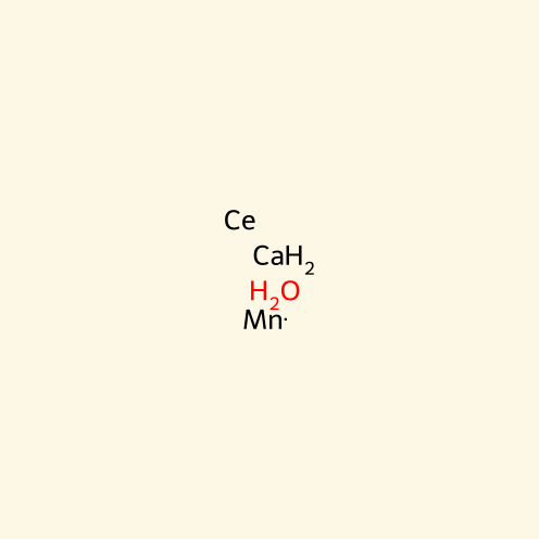 O.[CaH2].[Ce].[Mn]